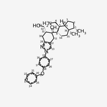 C[C@H]1CC[C@H]2[C@H](CN)[C@@H]([C@@]3(C)Cc4cn(-c5ccc(Oc6ccncc6)cc5)nc4C[C@@H]3CO)CC[C@]12C